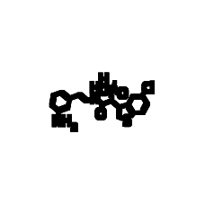 CP(=O)(O)C(C(=O)NC=Cc1cccc(N)c1)c1csc2ccc(Cl)cc12